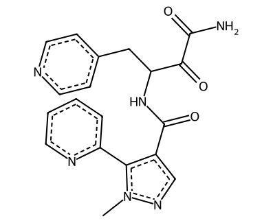 Cn1ncc(C(=O)NC(Cc2ccncc2)C(=O)C(N)=O)c1-c1ccccn1